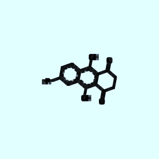 CCCc1ccc2c(O)c3c(c(O)c2c1)C(=O)CCC3=O